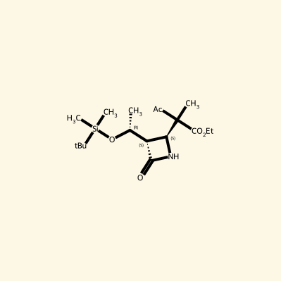 CCOC(=O)C(C)(C(C)=O)[C@H]1NC(=O)[C@@H]1[C@@H](C)O[Si](C)(C)C(C)(C)C